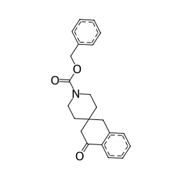 O=C1CC2(CCN(C(=O)OCc3ccccc3)CC2)Cc2ccccc21